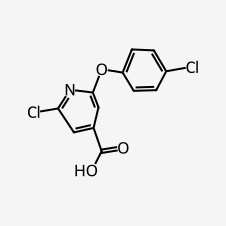 O=C(O)c1cc(Cl)nc(Oc2ccc(Cl)cc2)c1